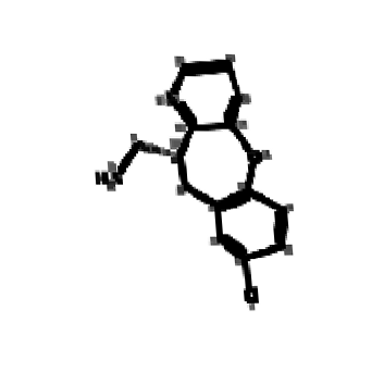 NC[C@H]1Cc2cc(Cl)ccc2Oc2cccnc21